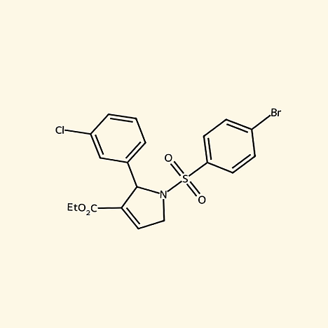 CCOC(=O)C1=CCN(S(=O)(=O)c2ccc(Br)cc2)C1c1cccc(Cl)c1